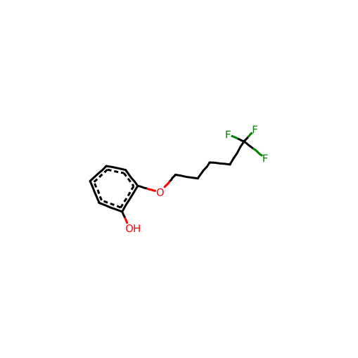 Oc1ccccc1OCCCCC(F)(F)F